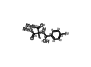 CNC(=O)C(C)(NC(O)c1ccc(I)cc1)C(=O)OC